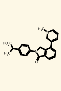 CC(C(=O)O)c1ccc(N2Cc3c(cccc3C3=CC=CN(C)C3)C2=O)cc1